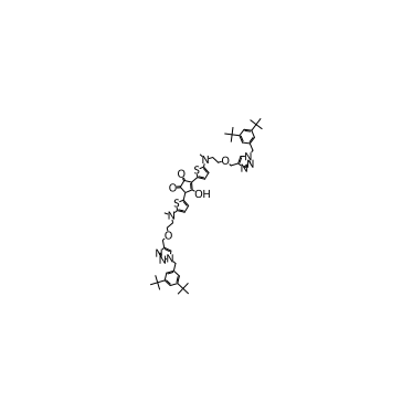 CN(CCOCc1cn(Cc2cc(C(C)(C)C)cc(C(C)(C)C)c2)nn1)c1ccc(C2=C(O)C(c3ccc(N(C)CCOCc4cn(Cc5cc(C(C)(C)C)cc(C(C)(C)C)c5)nn4)s3)C(=O)C2=O)s1